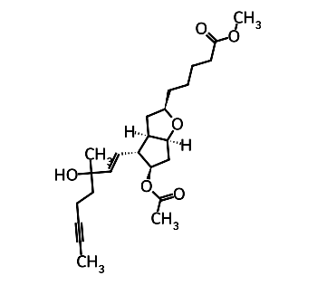 CC#CCCC(C)(O)/C=C/[C@@H]1[C@H]2C[C@@H](CCCCC(=O)OC)O[C@H]2C[C@H]1OC(C)=O